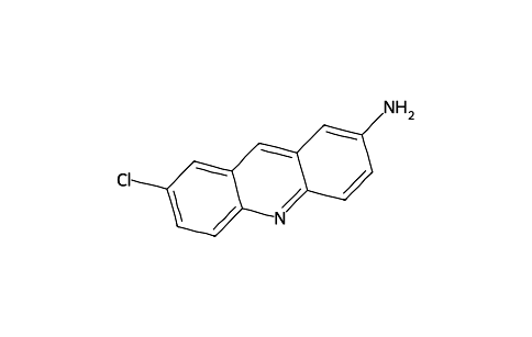 Nc1ccc2nc3ccc(Cl)cc3cc2c1